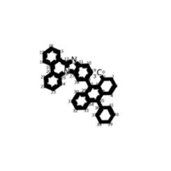 CC1CC=Cc2c1c(-c1ccc3nc4c5ccccc5c5ccccc5n4c3c1)c1ccccc1c2C1=CCCC=C1